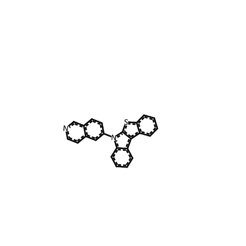 c1ccc2c(c1)sc1c2c2ccccc2n1-c1ccc2cnccc2c1